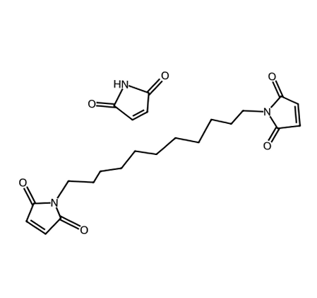 O=C1C=CC(=O)N1.O=C1C=CC(=O)N1CCCCCCCCCCCN1C(=O)C=CC1=O